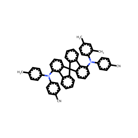 Cc1ccc(N(c2ccc(C#N)cc2)c2cccc3c2-c2ccccc2C32c3ccccc3-c3c(N(c4ccc(C#N)cc4)c4ccc(C)cc4C)cccc32)cc1